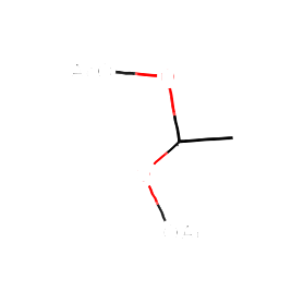 C[C](OOC(C)=O)OOC(C)=O